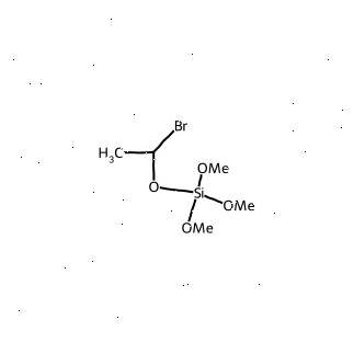 CO[Si](OC)(OC)OC(C)Br